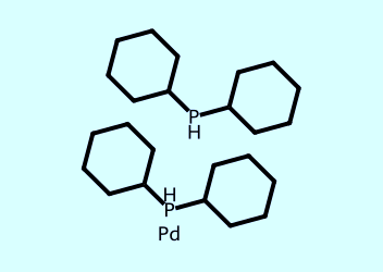 C1CCC(PC2CCCCC2)CC1.C1CCC(PC2CCCCC2)CC1.[Pd]